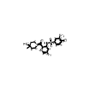 CC1(O)CCN(C(=O)c2ncc(Cl)cc2NS(=O)(=O)c2ccc(Cl)c(C(F)(F)F)c2)CC1